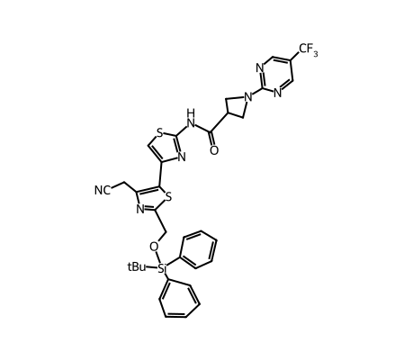 CC(C)(C)[Si](OCc1nc(CC#N)c(-c2csc(NC(=O)C3CN(c4ncc(C(F)(F)F)cn4)C3)n2)s1)(c1ccccc1)c1ccccc1